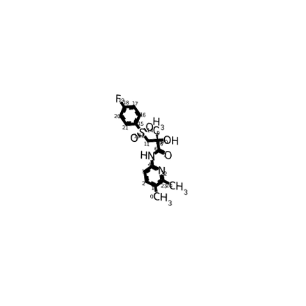 Cc1ccc(NC(=O)[C@@](C)(O)CS(=O)(=O)c2ccc(F)cc2)nc1C